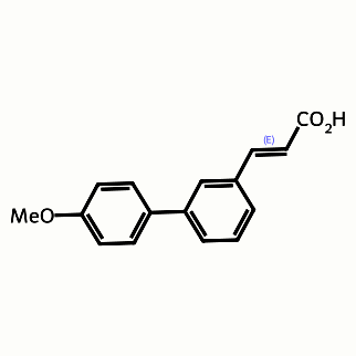 COc1ccc(-c2cccc(/C=C/C(=O)O)c2)cc1